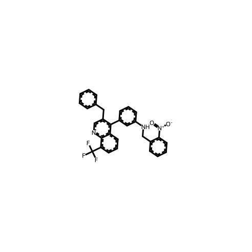 O=[N+]([O-])c1ccccc1CNc1cccc(-c2c(Cc3ccccc3)cnc3c(C(F)(F)F)cccc23)c1